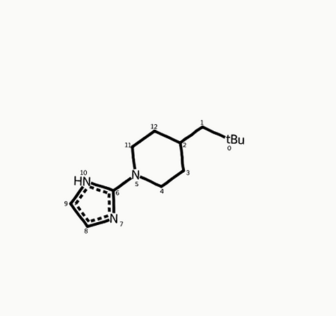 CC(C)(C)CC1CCN(c2ncc[nH]2)CC1